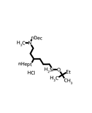 CCCCCCCCCCN(C)CCC(CCCCCCC)CCC[SiH2]OC(C)(C)CC.Cl